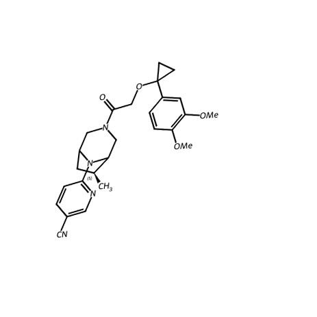 COc1ccc(C2(OCC(=O)N3CC4C[C@H](C)C(C3)N4c3ccc(C#N)cn3)CC2)cc1OC